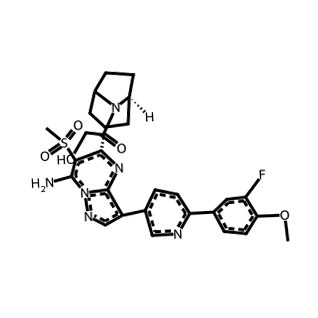 COc1ccc(-c2ccc(-c3cnn4c(N)c(S(C)(=O)=O)c([C@@H]5CC6CC[C@@H](C5)N6C(=O)CO)nc34)cn2)cc1F